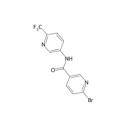 O=C(Nc1ccc(C(F)(F)F)nc1)c1ccc(Br)nc1